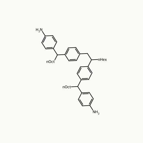 CCCCCCCCC(c1ccc(N)cc1)c1ccc(CC(CCCCCC)c2ccc(C(CCCCCCCC)c3ccc(N)cc3)cc2)cc1